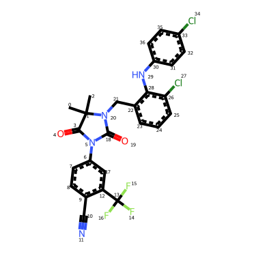 CC1(C)C(=O)N(c2ccc(C#N)c(C(F)(F)F)c2)C(=O)N1Cc1cccc(Cl)c1Nc1ccc(Cl)cc1